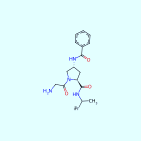 CC(C)C(C)NC(=O)[C@@H]1C[C@@H](NC(=O)c2ccccc2)CN1C(=O)CN